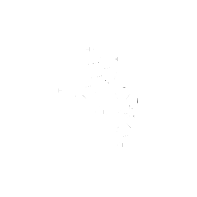 COC(=O)c1c(O)c2c(n(Cc3ccc(OC)cc3OC)c1=O)-c1ccc3c(ccn3S(=O)(=O)c3ccc(C)cc3)c1CCC2